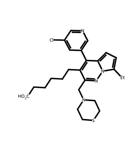 CCc1ccc2c(-c3cncc(Cl)c3)c(CCCCCC(=O)O)c(CN3CCSCC3)nn12